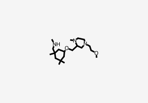 CNCC1(C)CC(OCC2CN(CCOC)CCN2C)CC(C)(C)C1